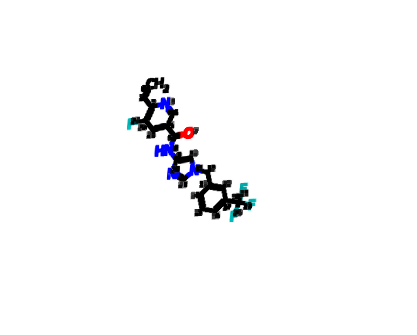 C=Cc1ncc(C(=O)Nc2cn(Cc3cccc(C(F)(F)F)c3)cn2)cc1F